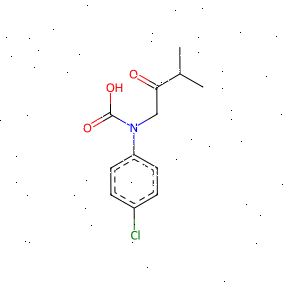 CC(C)C(=O)CN(C(=O)O)c1ccc(Cl)cc1